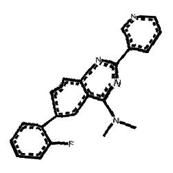 CN(C)c1nc(-c2cccnc2)nc2ccc(-c3ccccc3F)cc12